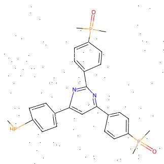 CPc1ccc(-c2cc(-c3ccc(P(C)(C)=O)cc3)nc(-c3ccc(P(C)(C)=O)cc3)n2)cc1